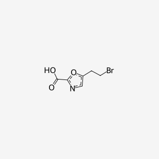 O=C(O)c1ncc(CCBr)o1